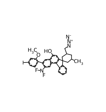 COc1cc(I)ccc1-c1cc2c(O)cc3c(c2cc1N(F)F)-c1ccccc1C31CC(C)CC(CN=[N+]=[N-])C1